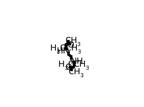 CC(=O)CC(C)(C)NCCCCNC(C)(C)CC(C)=O